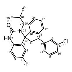 O=C1Nc2ccc(F)cc2C(CCc2cccc(Cl)c2)(c2ccccc2)N1CC(F)F